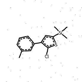 Cc1cccc(-c2cc([Si](C)(C)C)sc2Cl)c1